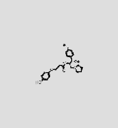 CCCCc1ccc([C@@H](O)[C@@H](CN2CCCC2)NC(=O)CCOc2ccc(O)cc2)cc1